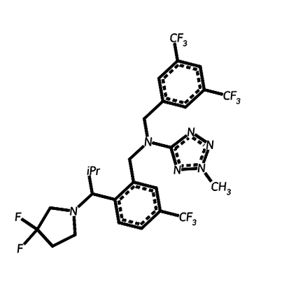 CC(C)C(c1ccc(C(F)(F)F)cc1CN(Cc1cc(C(F)(F)F)cc(C(F)(F)F)c1)c1nnn(C)n1)N1CCC(F)(F)C1